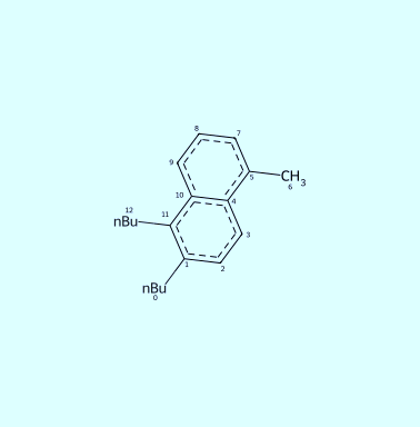 CCCCc1ccc2c(C)cccc2c1CCCC